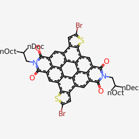 CCCCCCCCCCC(CCCCCCCC)Cn1c(=O)c2cc3c4cc(Br)sc4c4cc5c(=O)n(CC(CCCCCCCC)CCCCCCCCCC)c(=O)c6cc7c8cc(Br)sc8c8cc(c1=O)c2c1c3c4c(c65)c7c81